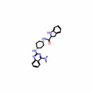 CN(C)c1nc(N[C@H]2CC[C@@H](NC(=O)C3Cc4ccccc4N3)CC2)nc2ccccc12